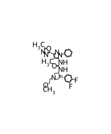 COCCN1CC(NC(=O)Nc2c(C)c(-c3nnc(C)o3)nn2-c2ccccc2)[C@H](c2ccc(F)c(F)c2)C1